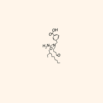 CCCCCCCC(CC)COC(N)CN(CCCCC=O)CC1C=CC=C(C(=O)O)C=C1